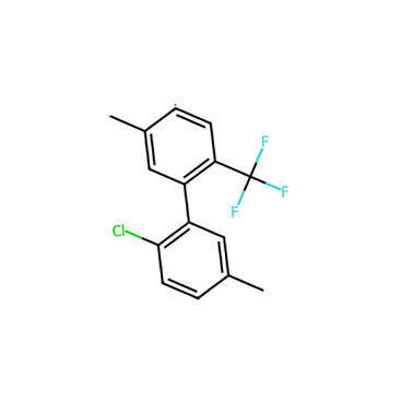 Cc1[c]cc(C(F)(F)F)c(-c2cc(C)ccc2Cl)c1